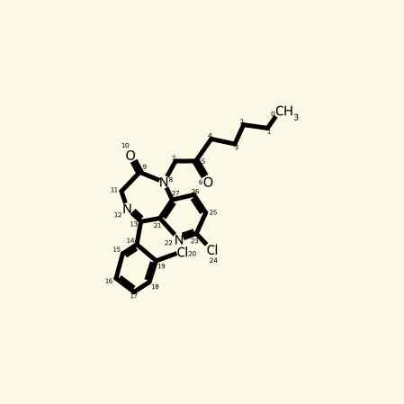 CCCCCC(=O)CN1C(=O)CN=C(c2ccccc2Cl)c2nc(Cl)ccc21